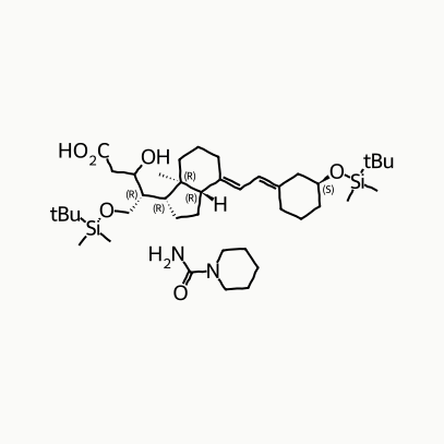 CC(C)(C)[Si](C)(C)OC[C@H](C(O)CC(=O)O)[C@H]1CC[C@H]2C(=CC=C3CCC[C@H](O[Si](C)(C)C(C)(C)C)C3)CCC[C@]12C.NC(=O)N1CCCCC1